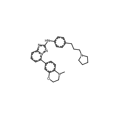 CN1CCOc2cc(-c3cccc4nc(Nc5ccc(CCCN6CCCC6)cc5)nn34)ccc21